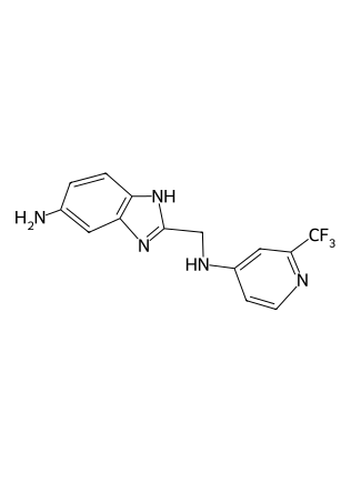 Nc1ccc2[nH]c(CNc3ccnc(C(F)(F)F)c3)nc2c1